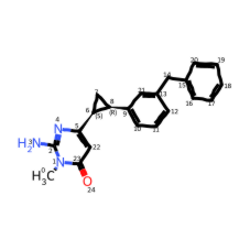 Cn1c(N)nc([C@H]2C[C@H]2c2cccc(Cc3ccccc3)c2)cc1=O